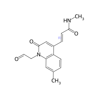 CNC(=O)/C=C/c1cc(=O)n(CC=O)c2cc(C)ccc12